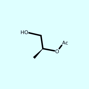 CC(=O)O[C@@H](C)CO